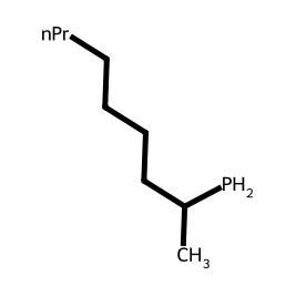 CCCCCCCC(C)P